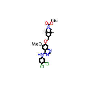 COc1cc2c(Nc3ccc(Cl)c(Cl)c3)ncnc2cc1OCC1C[C@@H]2CN(C(=O)OC(C)(C)C)C[C@@H]2C1